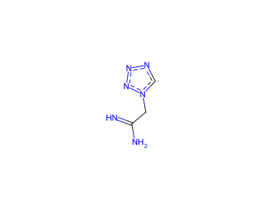 N=C(N)Cn1[c]nnn1